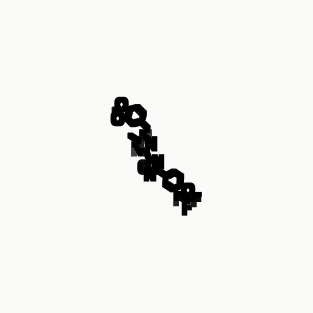 Cc1nc(-c2nc(-c3ccc(OC(F)(F)F)cc3)no2)nn1Cc1ccc2c(c1)OCO2